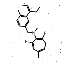 C/C=C(/CC)c1cc(CN(C)C2=C(F)CC=C(C)C=C2F)ccc1C